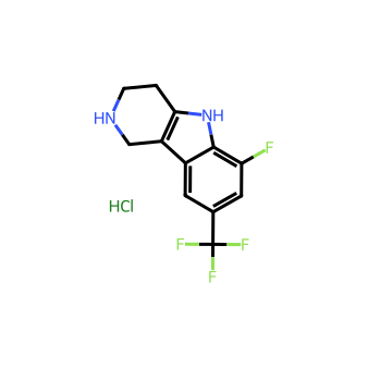 Cl.Fc1cc(C(F)(F)F)cc2c3c([nH]c12)CCNC3